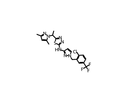 Cc1cc(C)n(C(C)c2nnc(Nc3ccn(Cc4cc(C(F)(F)F)ccc4Cl)n3)s2)n1